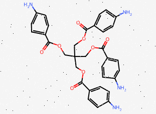 Nc1ccc(C(=O)OCC(COC(=O)c2ccc(N)cc2)(COC(=O)c2ccc(N)cc2)COC(=O)c2ccc(N)cc2)cc1